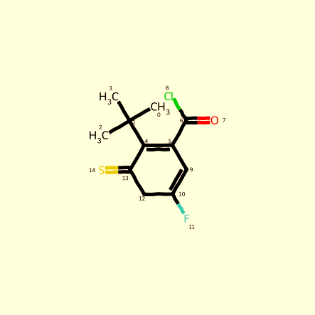 CC(C)(C)C1=C(C(=O)Cl)C=C(F)CC1=S